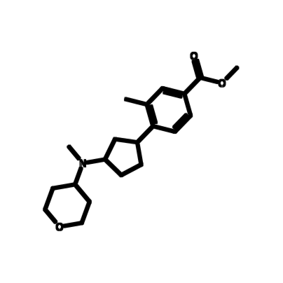 COC(=O)c1ccc(C2CCC(N(C)C3CCOCC3)C2)c(C)c1